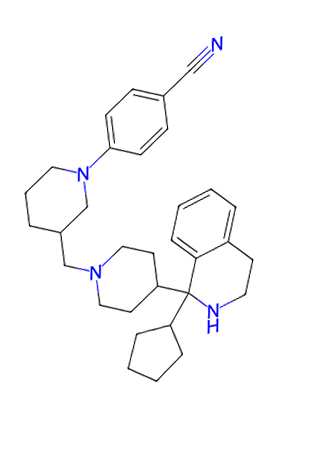 N#Cc1ccc(N2CCCC(CN3CCC(C4(C5CCCC5)NCCc5ccccc54)CC3)C2)cc1